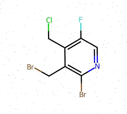 Fc1cnc(Br)c(CBr)c1CCl